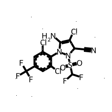 N#CC1C(Cl)=C(N)N(c2c(Cl)cc(C(F)(F)F)cc2Cl)N1S(=O)(=O)C(F)F